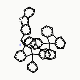 C(=C(/c1ccc2c(c1)-c1ccccc1C21c2ccccc2-c2ccccc21)c1ccccc1C1(c2ccccc2)c2ccccc2-c2ccccc21)/c1ccc2c(c1)sc1ccccc12